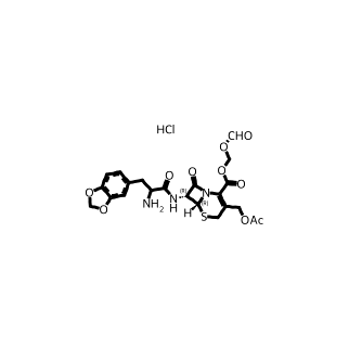 CC(=O)OCC1=C(C(=O)OCOC=O)N2C(=O)[C@@H](NC(=O)C(N)Cc3ccc4c(c3)OCO4)[C@H]2SC1.Cl